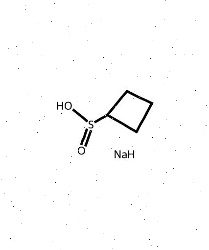 O=S(O)C1CCC1.[NaH]